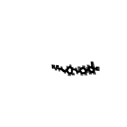 CCC=CC1CCC(CCC2CCC(c3ccc(Cl)c(F)c3)CC2)CC1